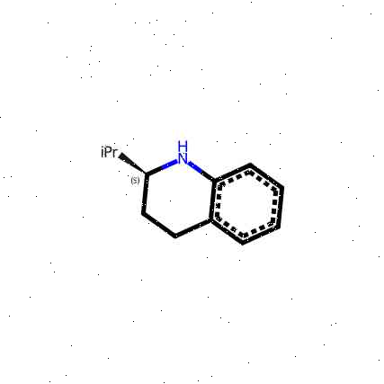 CC(C)[C@@H]1CCc2ccccc2N1